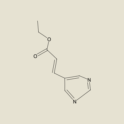 CCOC(=O)C=Cc1cncnc1